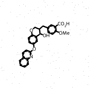 COc1ccc(CC2COc3ccc(Oc4ccc5ccccc5n4)cc3C2O)cc1C(=O)O